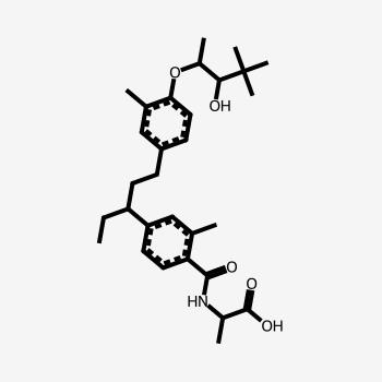 CCC(CCc1ccc(OC(C)C(O)C(C)(C)C)c(C)c1)c1ccc(C(=O)NC(C)C(=O)O)c(C)c1